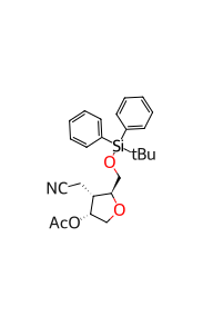 CC(=O)O[C@H]1CO[C@H](CO[Si](c2ccccc2)(c2ccccc2)C(C)(C)C)[C@H]1CC#N